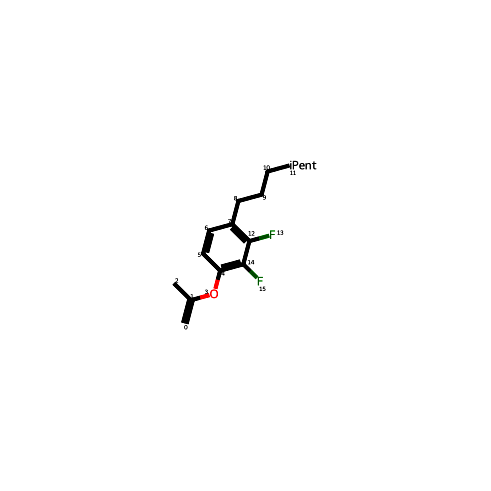 C=C(C)Oc1ccc(CCCC(C)CCC)c(F)c1F